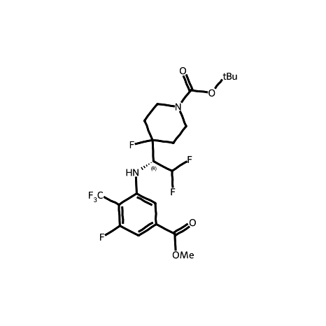 COC(=O)c1cc(F)c(C(F)(F)F)c(N[C@@H](C(F)F)C2(F)CCN(C(=O)OC(C)(C)C)CC2)c1